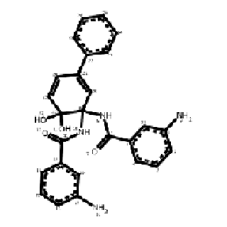 Nc1cccc(C(=O)NC2(NC(=O)c3cccc(N)c3)C=C(c3ccccc3)C=CC2(O)O)c1